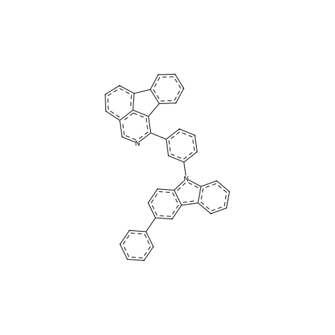 c1ccc(-c2ccc3c(c2)c2ccccc2n3-c2cccc(-c3ncc4cccc5c4c3-c3ccccc3-5)c2)cc1